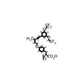 CCO[C@@H](Cc1ccc(OC/C=C(/C)C#Cc2cc(OCC(F)(F)F)cc(OCC(F)(F)F)c2)cc1)C(=O)O